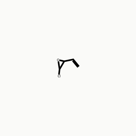 C=CC1OC1Cl